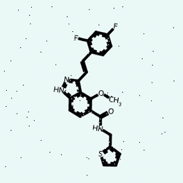 COc1c(C(=O)NCc2cccs2)ccc2[nH]nc(/C=C/c3ccc(F)cc3F)c12